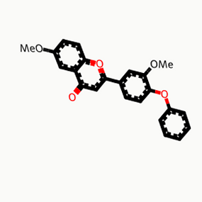 COc1ccc2oc(-c3ccc(Oc4ccccc4)c(OC)c3)cc(=O)c2c1